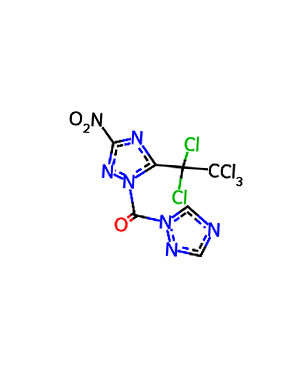 O=C(n1cncn1)n1nc([N+](=O)[O-])nc1C(Cl)(Cl)C(Cl)(Cl)Cl